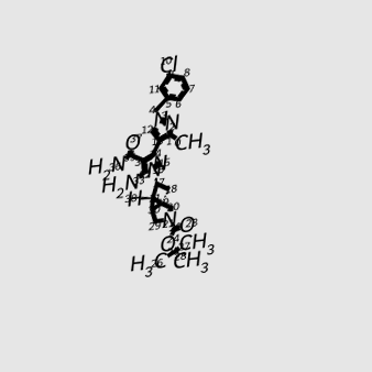 Cc1nn(Cc2cccc(Cl)c2)cc1-c1nn([C@@H]2C[C@]34CN(C(=O)OC(C)(C)C)CC3[C@H]24)c(N)c1C(N)=O